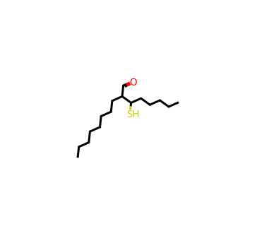 CCCCCCCCC(C=O)C(S)CCCCC